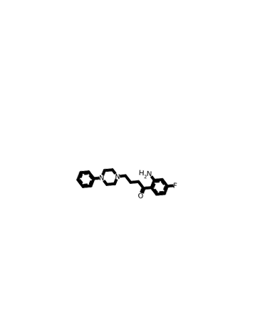 Nc1cc(F)ccc1C(=O)CCCN1CCN(c2ccccc2)CC1